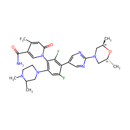 CC1CN(c2cc(F)c(-c3cnc(N4C[C@@H](C)O[C@H](C)C4)nc3)c(F)c2-n2cc(C(N)=O)c(C(F)(F)F)cc2=O)CCN1C